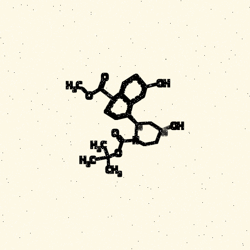 COC(=O)c1ccc([C@H]2C[C@H](O)CCN2C(=O)OC(C)(C)C)c2cc(O)ccc12